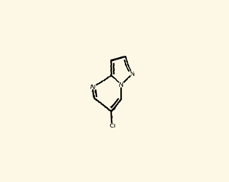 Clc1cnc2ccnn2c1